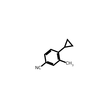 Cc1cc(C#N)ccc1C1CC1